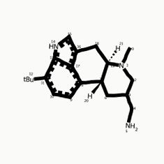 CN1CC(CN)C[C@@H]2c3ccc(C(C)(C)C)c4[nH]cc(c34)C[C@H]21